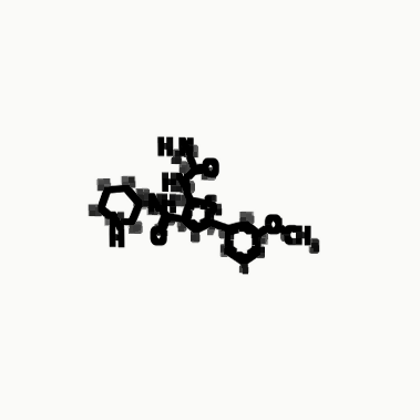 COc1cccc(-c2cc(C(=O)N[C@H]3CCCNC3)c(NC(N)=O)s2)c1